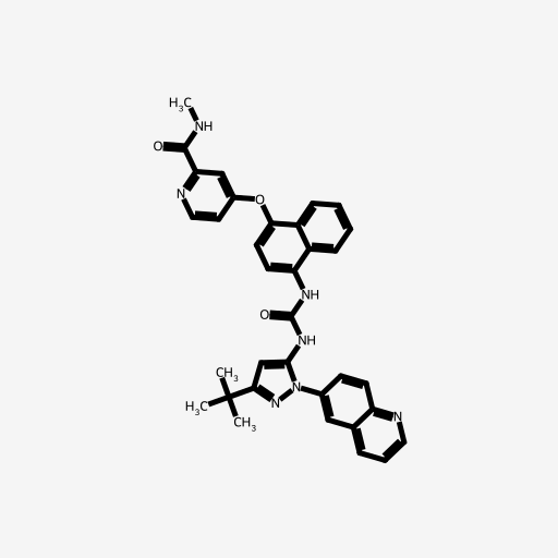 CNC(=O)c1cc(Oc2ccc(NC(=O)Nc3cc(C(C)(C)C)nn3-c3ccc4ncccc4c3)c3ccccc23)ccn1